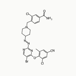 Cc1cc(C#N)cc(Cl)c1Oc1nc(N=NC2CCN(Cc3ccc(C(N)=O)cc3Cl)CC2)ncc1Br